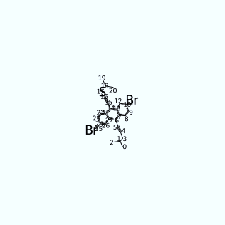 CC(C)CC#Cc1c2ccc(Br)cc2c(C#CSC(C)C)c2ccc(Br)cc12